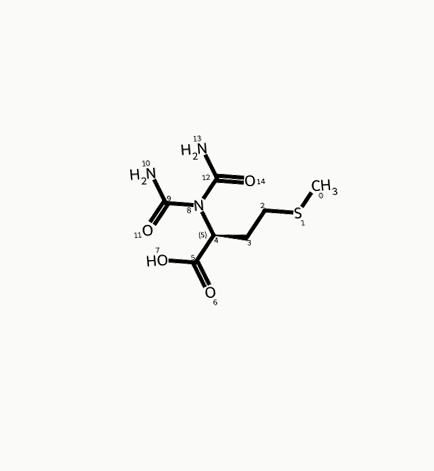 CSCC[C@@H](C(=O)O)N(C(N)=O)C(N)=O